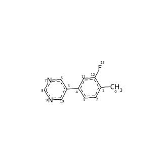 Cc1ccc(-c2cncnc2)cc1F